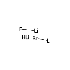 [LiH].[Li][Br].[Li][F]